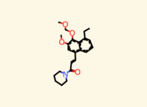 CCc1cccc2c(/C=C/C(=O)N3CCCCC3)cc(OC)c(OCOC)c12